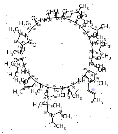 C/C=C/C[C@@H](C)[C@@H](O)[C@@H]1C(=O)N[C@H](CC)C(=O)N(C)[C@H](CSC(C)(C)CN(CC)CC)C(=O)N(C)[C@@H](CC(C)C)C(=O)N[C@H](C(C)C)C(=O)N(C)[C@@H]2CC(C)N(C2=O)[C@H](C)C(=O)N[C@@H](C)C(=O)N(C)[C@H](CC(C)C)C(=O)N(C)[C@H](CC(C)C)C(=O)N(C)[C@H](C(C)C)C(=O)N1C